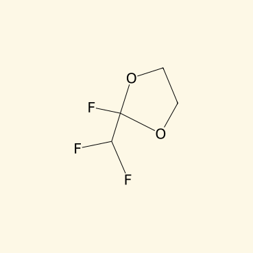 FC(F)C1(F)OCCO1